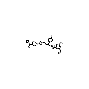 O=C(NCC(CCN1CC(N2CCC(C(=O)N3CCC3)CC2)C1)c1ccc(F)cc1)c1cc(CBr)cc(C(F)(F)F)c1